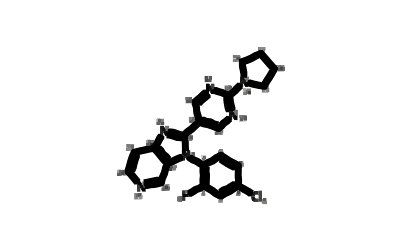 Fc1cc(Cl)ccc1-n1c(-c2cnc(N3CCCC3)nc2)nc2ccncc21